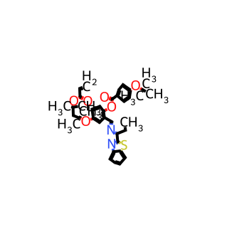 C=CC(=O)OC(C)(C)CC(C)(C)Oc1ccc(OC(=O)c2ccc(OC(C)(C)C)cc2)c(/C=N/C(CC)c2nc3ccccc3s2)c1